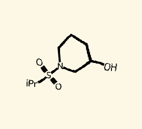 CC(C)S(=O)(=O)N1CCCC(O)C1